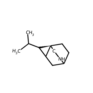 CC(C)C1C2CC3CC[C@]21CN3